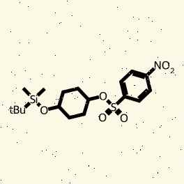 CC(C)(C)[Si](C)(C)OC1CCC(OS(=O)(=O)c2ccc([N+](=O)[O-])cc2)CC1